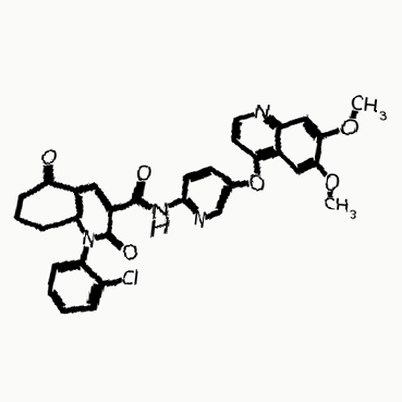 COc1cc2nccc(Oc3ccc(NC(=O)c4cc5c(n(-c6ccccc6Cl)c4=O)CCCC5=O)nc3)c2cc1OC